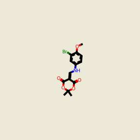 COc1ccc(NC=C2C(=O)OC(C)(C)OC2=O)cc1Br